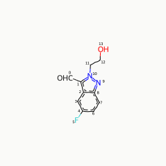 O=Cc1c2cc(F)ccc2nn1CCO